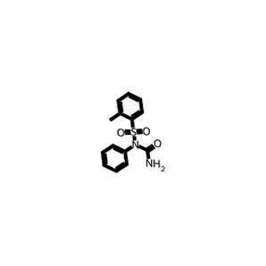 Cc1ccccc1S(=O)(=O)N(C(N)=O)c1ccccc1